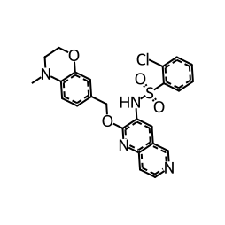 CN1CCOc2cc(COc3nc4ccncc4cc3NS(=O)(=O)c3ccccc3Cl)ccc21